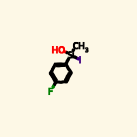 C[Si](O)(I)c1ccc(F)cc1